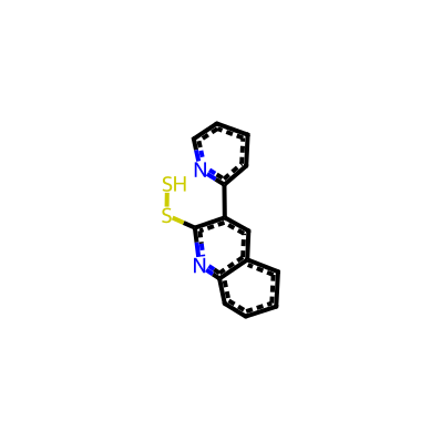 SSc1nc2ccccc2cc1-c1ccccn1